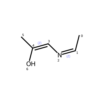 C/C=N\C=C(\C)O